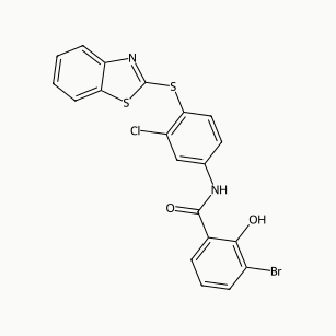 O=C(Nc1ccc(Sc2nc3ccccc3s2)c(Cl)c1)c1cccc(Br)c1O